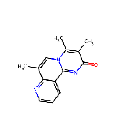 Cc1c(C)n2cc(C)c3ncccc3c2nc1=O